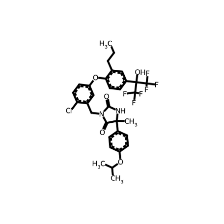 CCCc1cc(C(O)(C(F)(F)F)C(F)(F)F)ccc1Oc1ccc(Cl)c(CN2C(=O)NC(C)(c3ccc(OC(C)C)cc3)C2=O)c1